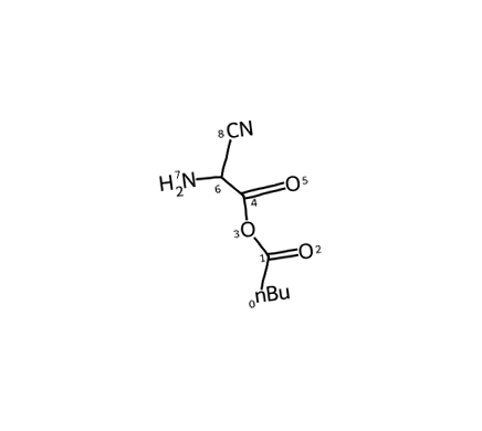 CCCCC(=O)OC(=O)C(N)C#N